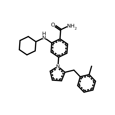 Cc1ccccc1Cc1cccn1-c1ccc(C(N)=O)c(NC2CCCCC2)c1